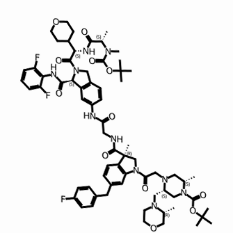 C[C@@H]1COCCN1C[C@H]1CN(C(=O)OC(C)(C)C)[C@@H](C)CN1CC(=O)N1C[C@](C)(C(=O)NCC(=O)Nc2ccc3c(c2)[C@@H](C(=O)Nc2c(F)cccc2F)N(C(=O)[C@@H](NC(=O)[C@H](C)N(C)C(=O)OC(C)(C)C)C2CCOCC2)C3)c2ccc(Cc3ccc(F)cc3)cc21